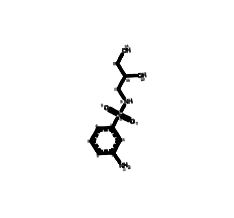 Nc1cccc(S(=O)(=O)NCC(O)CO)c1